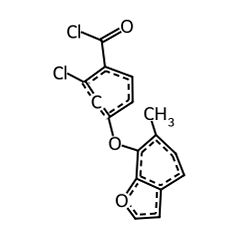 Cc1ccc2ccoc2c1Oc1ccc(C(=O)Cl)c(Cl)c1